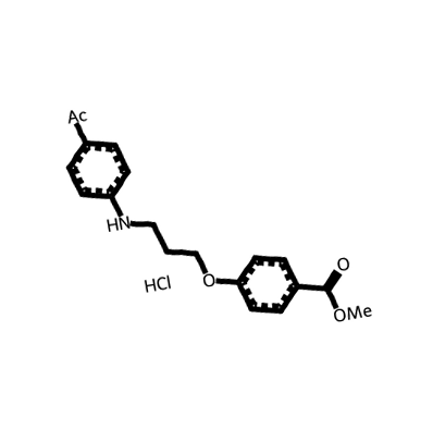 COC(=O)c1ccc(OCCCNc2ccc(C(C)=O)cc2)cc1.Cl